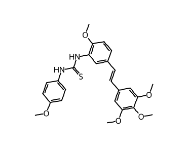 COc1ccc(NC(=S)Nc2cc(C=Cc3cc(OC)c(OC)c(OC)c3)ccc2OC)cc1